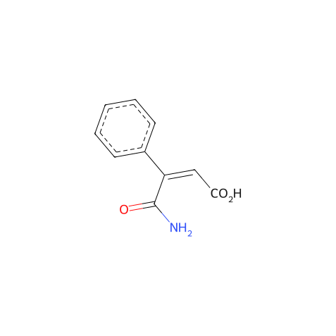 NC(=O)/C(=C\C(=O)O)c1ccccc1